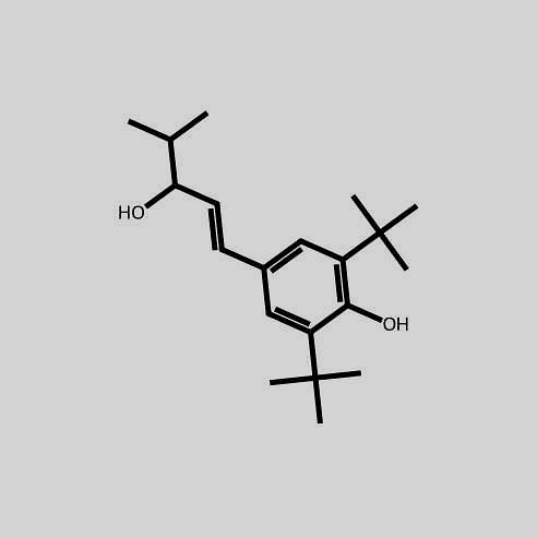 CC(C)C(O)C=Cc1cc(C(C)(C)C)c(O)c(C(C)(C)C)c1